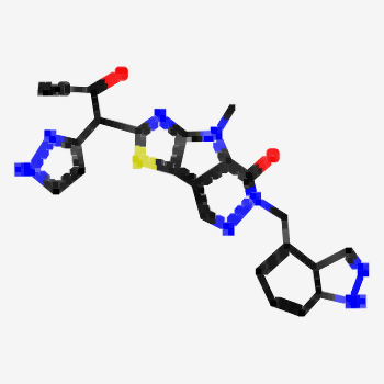 COC(=O)C(c1cc[nH]n1)c1nc2c(s1)c1cnn(CC3=CC=CC4NN=CC34)c(=O)c1n2C